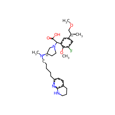 COC[C@@H](C)c1cc(F)c(OC)c(C(C(=O)O)N2CC[C@@H](N(C)CCCCCc3ccc4c(n3)NCCC4)C2)c1